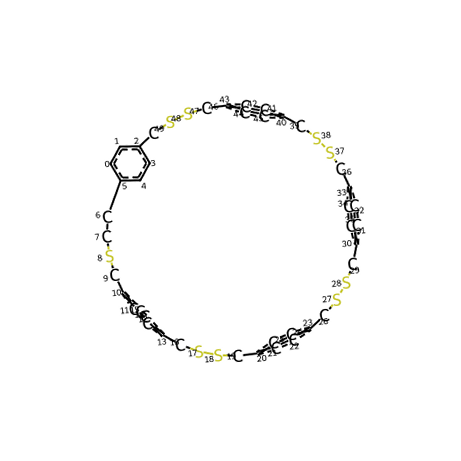 c1cc2ccc1CCSCc1ccc(cc1)CSSCc1ccc(cc1)CSSCc1ccc(cc1)CSSCc1ccc(cc1)CSSC2